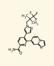 CC(C)(Cn1cc(-c2ccc(C(N)=O)nc2-c2ccn3ccnc3c2)cn1)C(F)(F)F